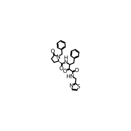 O=C(NCc1nccs1)C(=O)C(Cc1ccccc1)NC(=O)[C@H]1CCC(=O)N1Cc1ccccc1